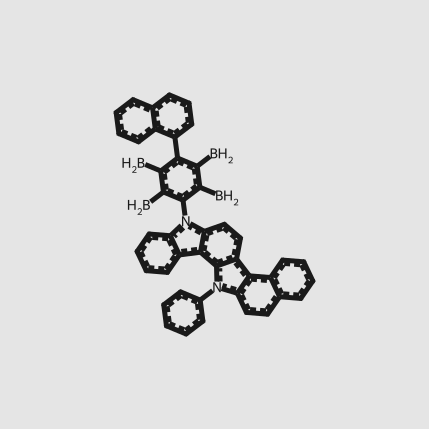 Bc1c(B)c(-n2c3ccccc3c3c2ccc2c4c5ccccc5ccc4n(-c4ccccc4)c23)c(B)c(B)c1-c1cccc2ccccc12